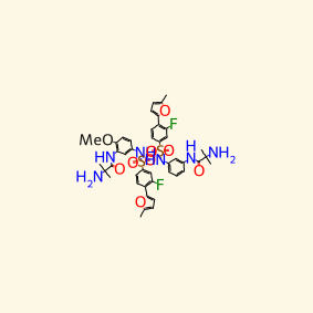 COc1ccc(NS(=O)(=O)c2ccc(-c3ccc(C)o3)c(F)c2)cc1NC(=O)C(C)(C)N.Cc1ccc(-c2ccc(S(=O)(=O)Nc3cccc(NC(=O)C(C)(C)N)c3)cc2F)o1